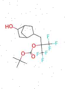 CC(C)(C)OC(=O)OC(CC1CC2CC1CC2O)(C(F)(F)F)C(F)(F)F